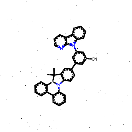 CC1(C)B2c3ccccc3-c3ccccc3N2c2ccc(-c3cc(C#N)cc(-n4c5ccccc5c5cccnc54)c3)cc21